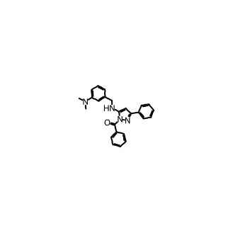 CN(C)c1cccc(CNc2cc(-c3ccccc3)nn2C(=O)c2ccccc2)c1